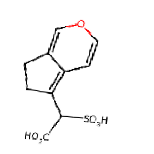 O=C(O)C(C1=C2C=COC=C2CC1)S(=O)(=O)O